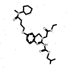 CCOC(=O)CN1Cc2cc(OCCCC(=O)N(C)C3CCCCC3)ccc2N=C1NC(=O)OCC(C)C